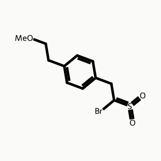 COCCc1ccc(CC(Br)=S(=O)=O)cc1